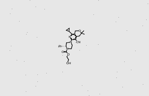 CC(C)[C@@H]1CN(c2nc(C3CC3)c3c(c2C#N)CC(C)(C)OC3)CCN1C(=O)OCCO